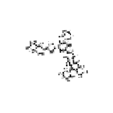 c1ccc(-c2nc(-c3ccc(-c4ccc5ccccc5c4)cc3)nc(-c3ccc4c(c3)oc3c(-c5ccccc5)c5ccccc5cc34)n2)cc1